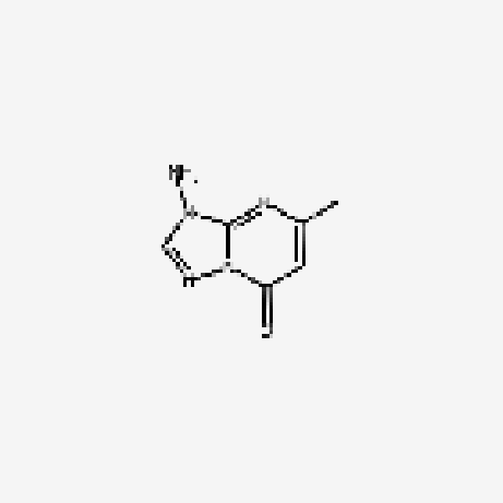 Cc1cc(=O)n2ncn(N)c2n1